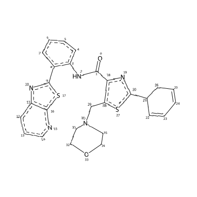 O=C(Nc1ccccc1-c1nc2cccnc2s1)c1nc(C2C=CC=CC2)sc1CN1CCOCC1